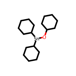 C1CCC([O][Sn]([CH]2CCCCC2)[CH]2CCCCC2)CC1